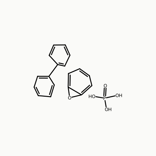 O=P(O)(O)O.c1ccc(-c2ccccc2)cc1.c1ccc2c(c1)O2